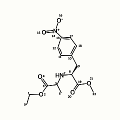 CCOC(=O)C(C)N[C@@H](Cc1ccc([N+](=O)[O-])cc1)C(=O)OC